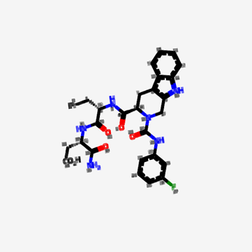 CC(C)C[C@H](NC(=O)[C@H]1Cc2c([nH]c3ccccc23)CN1C(=O)Nc1cccc(F)c1)C(=O)N[C@@H](CC(=O)O)C(N)=O